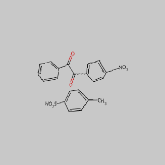 Cc1ccc(S(=O)(=O)O)cc1.O=C(C(=O)c1ccc([N+](=O)[O-])cc1)c1ccccc1